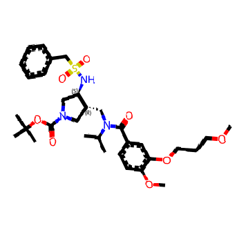 COCCCOc1cc(C(=O)N(C[C@@H]2CN(C(=O)OC(C)(C)C)C[C@H]2NS(=O)(=O)Cc2ccccc2)C(C)C)ccc1OC